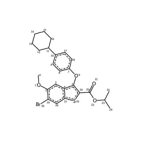 COc1cc2c(Oc3ccc(C4CCCCC4)cc3)c(C(=O)OC(C)C)sc2cc1Br